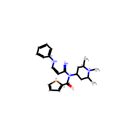 CC1CC(N(C(=N)/C=C\Nc2ccccc2)C(=O)c2cccs2)CC(C)N1C